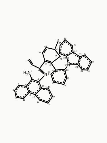 C=C/C(=N\c1c(N)c2ccccc2c2ccccc12)C1=C(c2ccccc2-n2c3ccccc3c3ccccc32)CC(C)C=C1